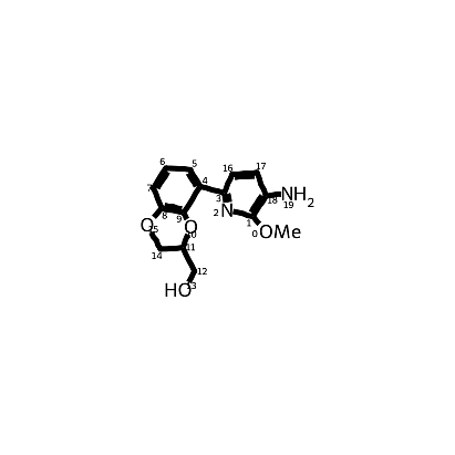 COc1nc(-c2cccc3c2OC(CO)CO3)ccc1N